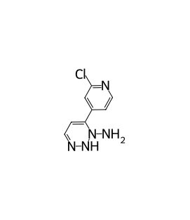 NN1NN=CC=C1c1ccnc(Cl)c1